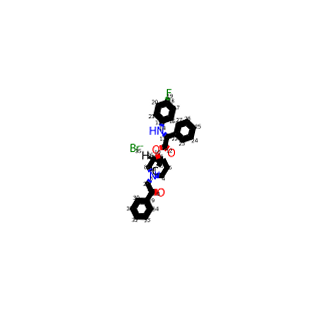 O=C(C[N+]12CCC(CC1)[C@@H](OC(=O)C(Nc1ccc(F)cc1)c1ccccc1)C2)c1ccccc1.[Br-]